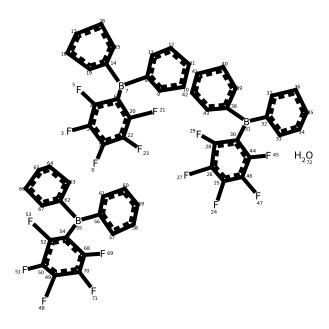 Fc1c(F)c(F)c(B(c2ccccc2)c2ccccc2)c(F)c1F.Fc1c(F)c(F)c(B(c2ccccc2)c2ccccc2)c(F)c1F.Fc1c(F)c(F)c(B(c2ccccc2)c2ccccc2)c(F)c1F.O